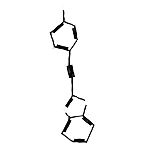 O=[N+]([O-])c1ccc(C#Cc2nc3ccccc3s2)cc1